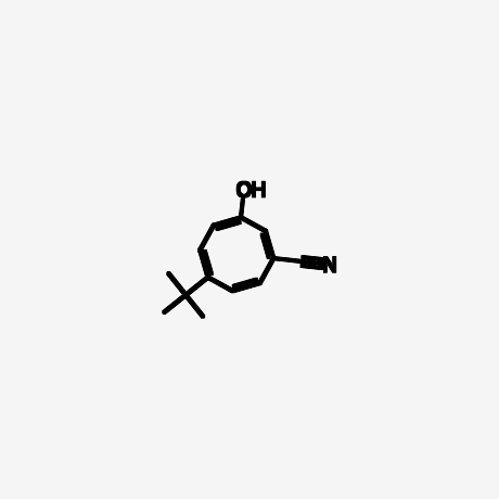 CC(C)(C)C1=C/C=C(O)\C=C(C#N)/C=C\1